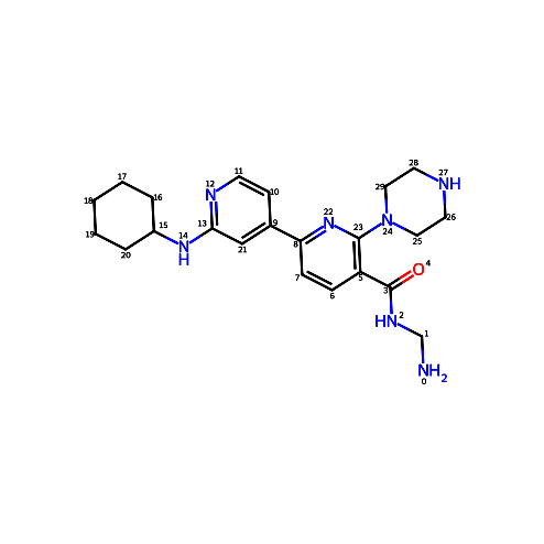 NCNC(=O)c1ccc(-c2ccnc(NC3CCCCC3)c2)nc1N1CCNCC1